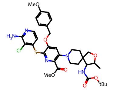 COC(=O)c1nc(Sc2ccnc(N)c2Cl)c(OCc2ccc(OC)cc2)cc1N1CCC2(CC1)COC(C)C2NC(=O)OC(C)(C)C